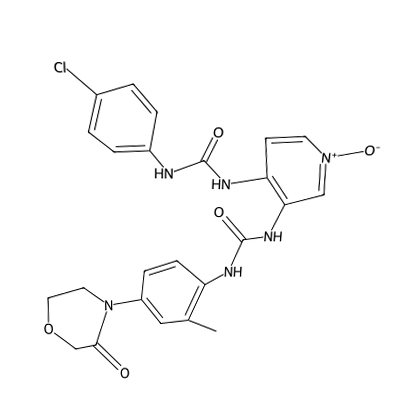 Cc1cc(N2CCOCC2=O)ccc1NC(=O)Nc1c[n+]([O-])ccc1NC(=O)Nc1ccc(Cl)cc1